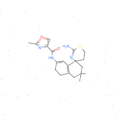 Cc1nc(C(=O)NC2=CC3=C(CC2)CC(C)(C)CC32CCSC(N)=N2)co1